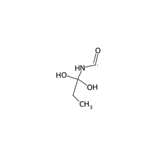 CCC(O)(O)N[C]=O